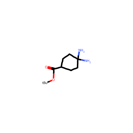 CC(C)(C)OC(=O)C1CCC(N)(N)CC1